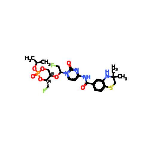 CC(C)OP1(=O)OC[C@@H](OC(CF)n2ccc(NC(=O)c3ccc4c(c3)NC(C)(C)CS4)nc2=O)[C@H](CF)O1